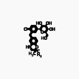 CC1(C)CNc2cc(Cc3cc([C@@H]4O[C@H](CO)[C@@H](O)[C@H](O)[C@H]4O)ccc3Cl)ccc2O1